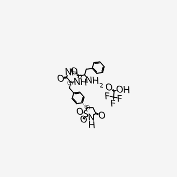 NC(=O)[C@H](Cc1ccc([C@@H]2CC(=O)NS2(=O)=O)cc1)NC(=O)C(N)Cc1ccccc1.O=C(O)C(F)(F)F